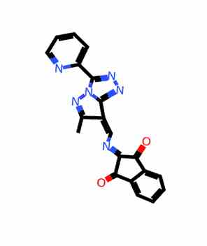 Cc1nn2c(-c3ccccn3)nnc2c1=CN=c1c(=O)c2ccccc2c1=O